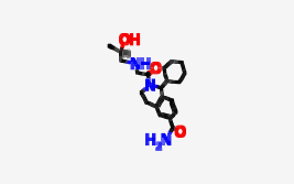 C[C@@H](O)CNCC(=O)N1CCc2cc(C(N)=O)ccc2C1C1CCCCC1